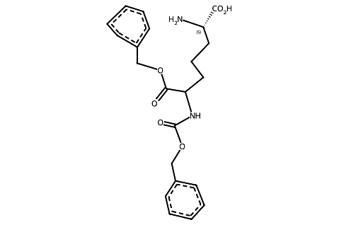 N[C@@H](CCCC(NC(=O)OCc1ccccc1)C(=O)OCc1ccccc1)C(=O)O